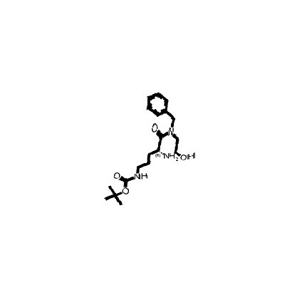 CC(C)(C)OC(=O)NCCC[C@@H](N)C(=O)N(CCO)Cc1ccccc1